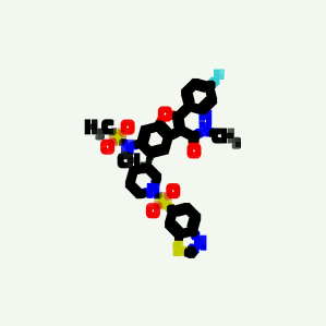 CNC(=O)c1c(-c2ccc(F)cc2)oc2cc(N(C)S(C)(=O)=O)c([C@H]3CCCN(S(=O)(=O)c4ccc5ncsc5c4)C3)cc12